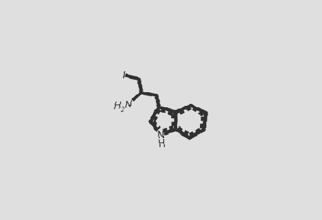 NC(CI)Cc1c[nH]c2ccccc12